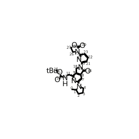 CC1CCCN1c1cc2c(c(CNC(=O)OC(C)(C)C)n1)CN(c1cccc(N3CCOC3=O)n1)C2=O